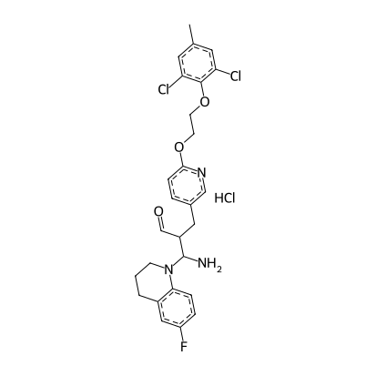 Cc1cc(Cl)c(OCCOc2ccc(CC(C=O)C(N)N3CCCc4cc(F)ccc43)cn2)c(Cl)c1.Cl